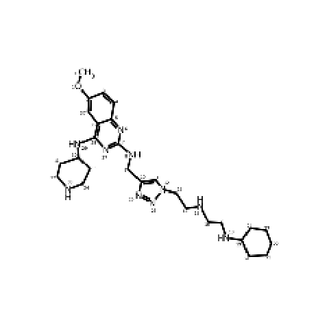 COc1ccc2nc(NCc3cn(CCNCCNC4CCCCC4)nn3)nc(NC3CCNCC3)c2c1